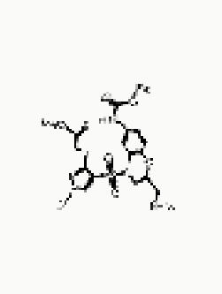 CCn1cc(S(=O)(=O)N2CC(CNC(C)=O)Oc3ccc(NC(=O)OC(C)(C)C)cc32)c(OCC(=O)OC)n1